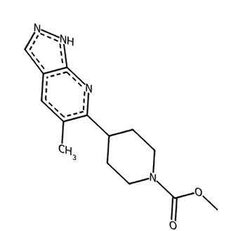 Cc1cc2cn[nH]c2nc1C1CCN(C(=O)OC(C)(C)C)CC1